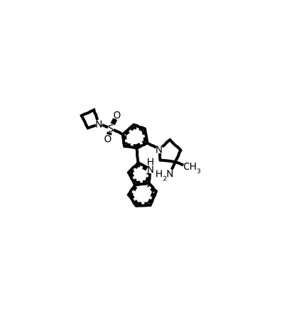 CC1(N)CCN(c2ccc(S(=O)(=O)N3CCC3)cc2-c2cc3ccccc3[nH]2)C1